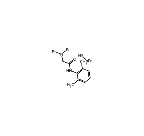 CCCS.CCN(CC)CC(=O)Nc1c(C)cccc1C